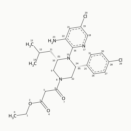 CCOC(=O)CC(=O)N1C[C@H](CC(C)C)N(c2ncc(Cl)cc2N)[C@H](c2ccc(Cl)cc2)C1